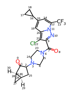 O=C1C(N2CCN(C(=O)c3nn4c(C(F)(F)F)cc(C5CC5)cc4c3Cl)CC2)C[C@H]2C[C@@H]12